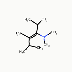 CC(C)C([SiH3])=C(C(C)C)N(C)C